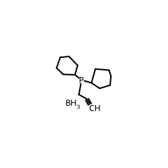 B.C#CCP(C1CCCCC1)C1CCCCC1